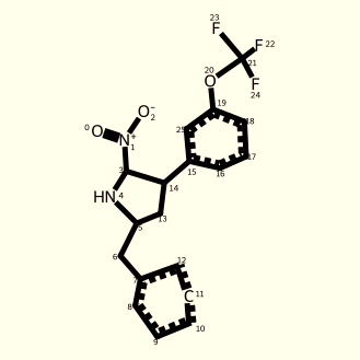 O=[N+]([O-])C1NC(Cc2ccccc2)CC1c1cccc(OC(F)(F)F)c1